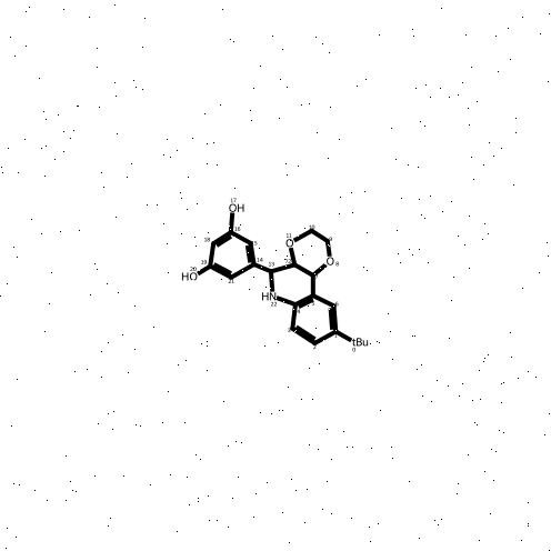 CC(C)(C)c1ccc2c(c1)C1OCCOC1C(c1cc(O)cc(O)c1)N2